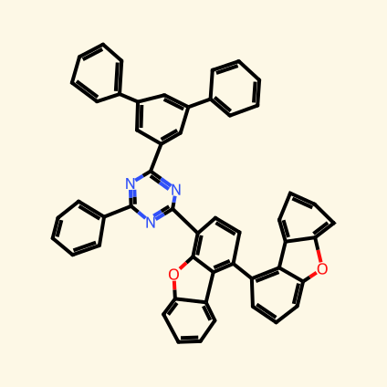 c1ccc(-c2cc(-c3ccccc3)cc(-c3nc(-c4ccccc4)nc(-c4ccc(-c5cccc6oc7ccccc7c56)c5c4oc4ccccc45)n3)c2)cc1